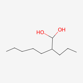 CCCCCC(CCC)C(O)O